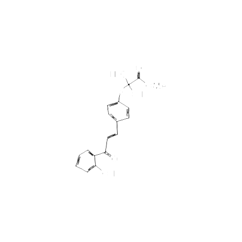 COC(=O)C(C)(C)Sc1ccc(/C=C/C(=O)c2ccccc2O)cc1